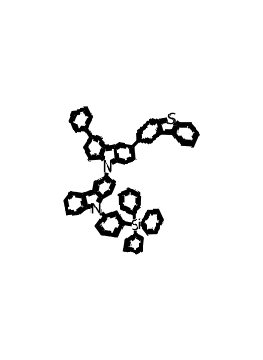 c1ccc(-c2ccc3c(c2)c2cc(-c4ccc5sc6ccccc6c5c4)ccc2n3-c2ccc3c(c2)c2ccccc2n3-c2cccc([Si](c3ccccc3)(c3ccccc3)c3ccccc3)c2)cc1